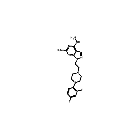 NNc1nc(N)nc2c1cnn2CCN1CCN(c2ccc(F)cc2F)CC1